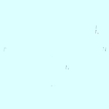 Fc1ccc(SC2CO[CH]CN2c2ccc3[nH]cnc3c2)cc1